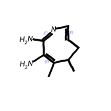 C/C1=C(N)/C(N)=N\C=C\CC1C